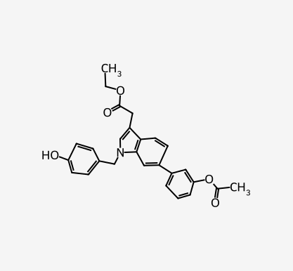 CCOC(=O)Cc1cn(Cc2ccc(O)cc2)c2cc(-c3cccc(OC(C)=O)c3)ccc12